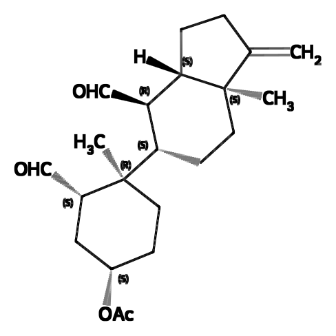 C=C1CC[C@H]2[C@H](C=O)[C@@H]([C@@]3(C)CC[C@H](OC(C)=O)C[C@@H]3C=O)CC[C@]12C